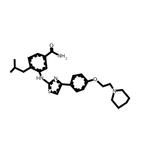 CC(C)Cc1ccc(C(N)=O)cc1Nc1nc(-c2ccc(OCCN3CCCCC3)cc2)cs1